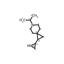 CC(C)N1CCC2(CC1)CC2C1CN1